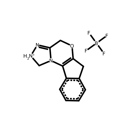 F[B-](F)(F)F.c1ccc2c(c1)CC1=C2N2C[NH2+]N=C2CO1